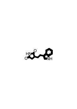 O=C1CC(CCc2c[nH]c3ccccc23)C(=O)N1